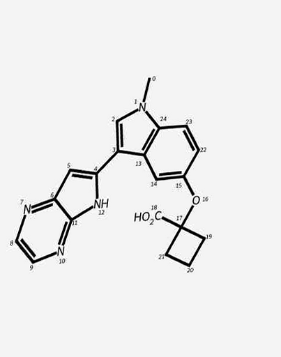 Cn1cc(-c2cc3nccnc3[nH]2)c2cc(OC3(C(=O)O)CCC3)ccc21